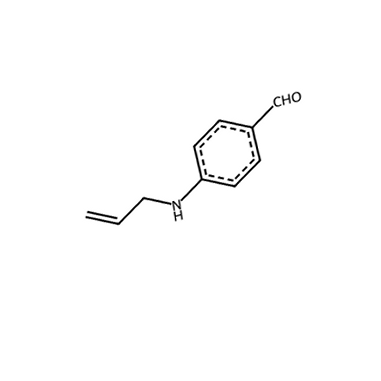 C=CCNc1ccc(C=O)cc1